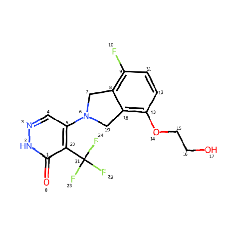 O=c1[nH]ncc(N2Cc3c(F)ccc(OCCO)c3C2)c1C(F)(F)F